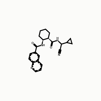 N#CC(NC(=O)[C@@H]1CCCC[C@@H]1NC(=O)c1ccc2ncccc2c1)C1CC1